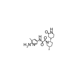 Cc1cc(NC(=O)C(=O)N2C[C@H](C)CC[C@@H]2C2CCNC(=O)C2)cnc1N